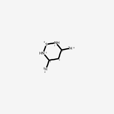 [2H]C1CC([2H])NSN1